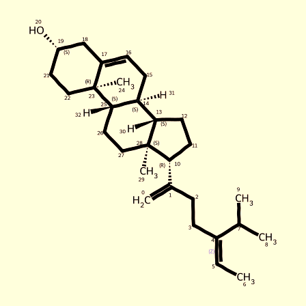 C=C(CC/C(=C/C)C(C)C)[C@H]1CC[C@H]2[C@@H]3CC=C4C[C@@H](O)CC[C@]4(C)[C@H]3CC[C@]12C